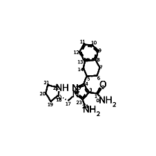 NC(=O)c1c(C2CCc3ccccc3C2)nn(C[C@@H]2CCCN2)c1N